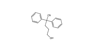 N#CC(CCCO)(c1ccccc1)c1ccccc1